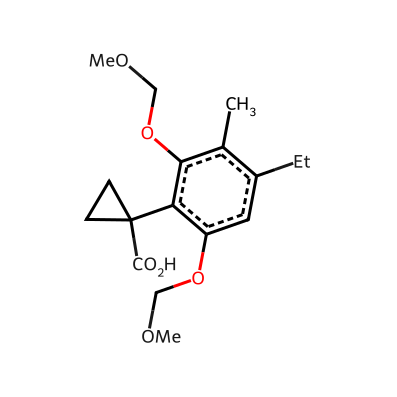 CCc1cc(OCOC)c(C2(C(=O)O)CC2)c(OCOC)c1C